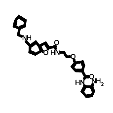 Nc1ccccc1NC(=O)c1ccc(OCCNC(=O)c2cc3cc(CNCc4ccccc4)ccc3o2)cc1